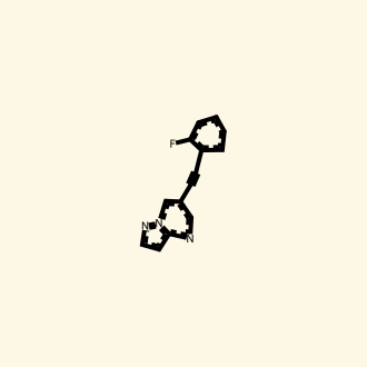 Fc1ccccc1C#Cc1cnc2ccnn2c1